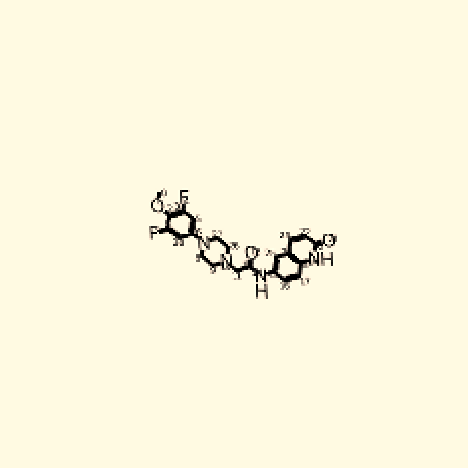 COc1c(F)cc(N2CCN(CC(=O)Nc3ccc4[nH]c(=O)ccc4c3)CC2)cc1F